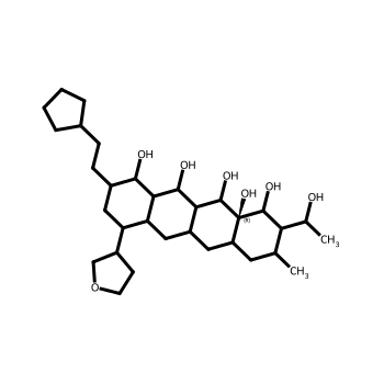 CC(O)C1C(C)CC2CC3CC4C(C5CCOC5)CC(CCC5CCCC5)C(O)C4C(O)C3C(O)[C@]2(O)C1O